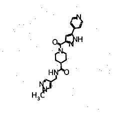 Cn1cc(CNC(=O)C2CCN(C(=O)c3cc(-c4ccncc4)[nH]n3)CC2)cn1